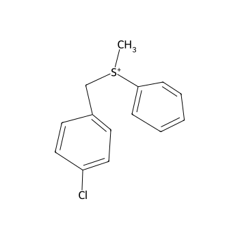 C[S+](Cc1ccc(Cl)cc1)c1ccccc1